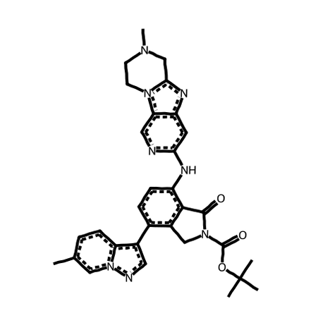 Cc1ccc2c(-c3ccc(Nc4cc5nc6n(c5cn4)CCN(C)C6)c4c3CN(C(=O)OC(C)(C)C)C4=O)cnn2c1